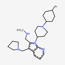 CCOC(=O)NCc1c(CN2CCCC2)c2cccnc2n1C1CCN(C2CCC(C(C)C)CC2)CC1